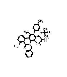 Cc1ccc(-c2c([C@H](OC(C)(C)C)C(=O)O)c(C)c3c(c2C)c2cccc(C)c2c(=O)n3Cc2ccccc2)cc1